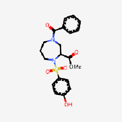 COC(=O)C1CN(C(=O)c2ccccc2)CCCN1S(=O)(=O)c1ccc(O)cc1